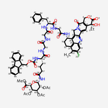 CC[C@@]1(O)C(=O)OCc2c1cc1n(c2=O)Cc2c-1nc1cc(F)c(C)c3c1c2[C@@H](NC(=O)CNC(=O)[C@H](Cc1ccccc1)NC(=O)CNC(=O)CNC(=O)[C@H](CCCC(=O)N[C@H]1O[C@H](C(=O)OC)[C@@H](OC(C)=O)[C@H](OC(C)=O)[C@H]1OC(C)=O)NC(=O)OCC1c2ccccc2-c2ccccc21)CC3